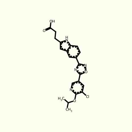 CC(C)Oc1ncc(-c2nc(-c3ccc4[nH]c(CCC(=O)O)cc4c3)no2)cc1Cl